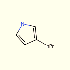 CCCC1=C[N]C=C1